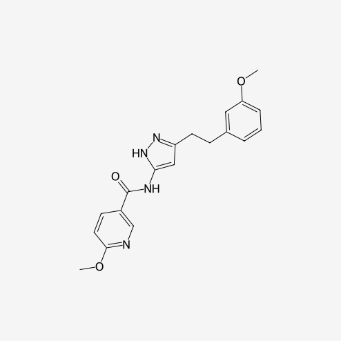 COc1cccc(CCc2cc(NC(=O)c3ccc(OC)nc3)[nH]n2)c1